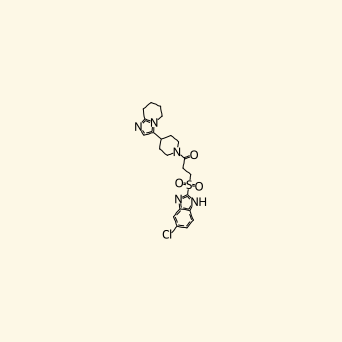 O=C(CCS(=O)(=O)c1nc2cc(Cl)ccc2[nH]1)N1CCC(c2cnc3n2CCCC3)CC1